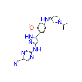 COc1cc(N[C@H]2CCN(C(C)C)C2)ccc1-c1cc(Nc2cnc(C#N)cn2)n[nH]1